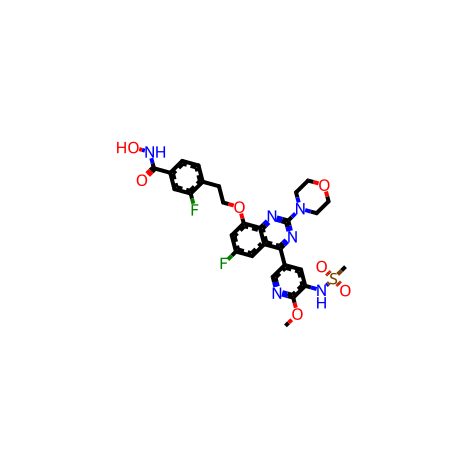 COc1ncc(-c2nc(N3CCOCC3)nc3c(OCCc4ccc(C(=O)NO)cc4F)cc(F)cc23)cc1NS(C)(=O)=O